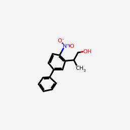 CC(CO)c1cc(-c2ccccc2)ccc1[N+](=O)[O-]